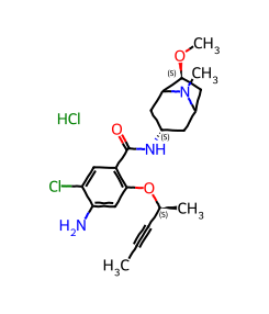 CC#C[C@H](C)Oc1cc(N)c(Cl)cc1C(=O)N[C@H]1CC2C[C@H](OC)C(C1)N2C.Cl